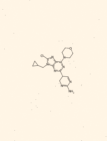 NC1=NCC(c2nc(N3CCOCC3)c3nc(Cl)n(CC4CC4)c3n2)C=N1